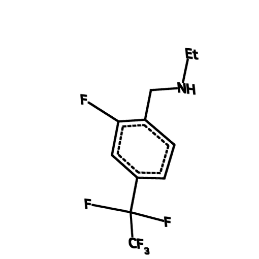 CCNCc1ccc(C(F)(F)C(F)(F)F)cc1F